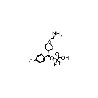 NCCN1CCC(C(=O)c2ccc(Cl)cc2)CC1.O=C(O)C(F)(F)F